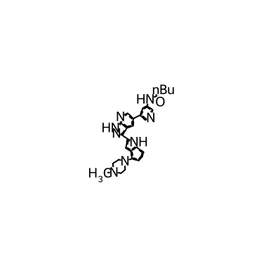 CCCCC(=O)Nc1cncc(-c2cnc3[nH]nc(-c4cc5c(N6CCN(C)CC6)cccc5[nH]4)c3c2)c1